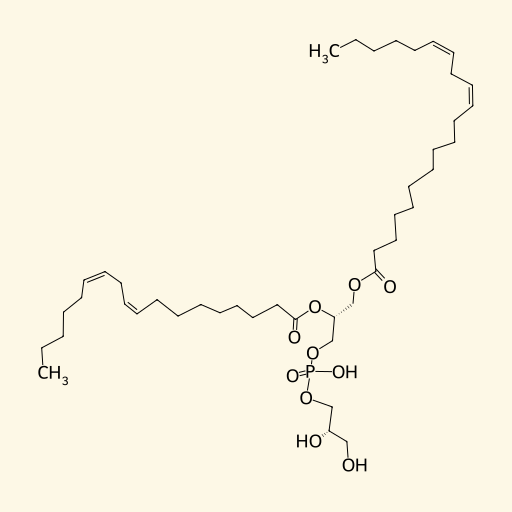 CCCCC/C=C\C/C=C\CCCCCCCCCC(=O)OC[C@H](COP(=O)(O)OC[C@@H](O)CO)OC(=O)CCCCCCC/C=C\C/C=C\CCCCC